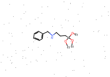 CCO[Si](CCCNCc1cc[c]cc1)(OCC)OCC